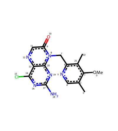 COc1c(C)cnc(Cn2c(=O)cnc3c(Cl)nc(N)nc32)c1C